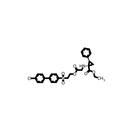 CCOC(=O)[C@]1(NCC(=O)OCCS(=O)(=O)c2ccc(-c3ccc(Cl)cc3)cc2)C[C@@H]1c1ccccc1